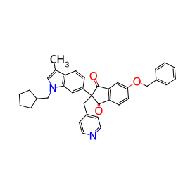 Cc1cn(CC2CCCC2)c2cc(C3(Cc4ccncc4)C(=O)c4ccc(OCc5ccccc5)cc4C3=O)ccc12